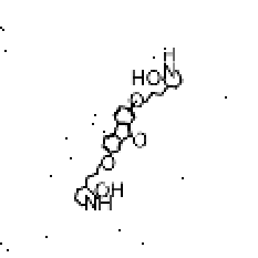 O=C1c2cc(OCCCC3CCCNC3O)ccc2-c2ccc(OCCCC3CCCNC3O)cc21